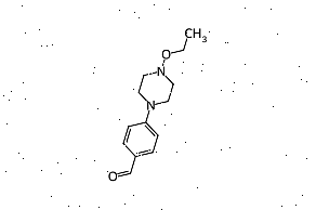 CCON1CCN(c2ccc(C=O)cc2)CC1